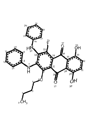 CCCCOc1c(Nc2ccccc2)c(Nc2ccccc2)c(F)c2c1C(=O)c1c(O)ccc(O)c1C2=O